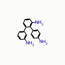 Nc1ccc(-c2c(N)cccc2-c2cccc(N)c2)cc1